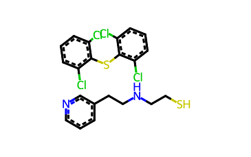 Clc1cccc(Cl)c1Sc1c(Cl)cccc1Cl.SCCNCCc1cccnc1